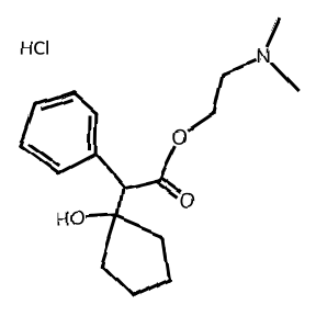 CN(C)CCOC(=O)C(c1ccccc1)C1(O)CCCC1.Cl